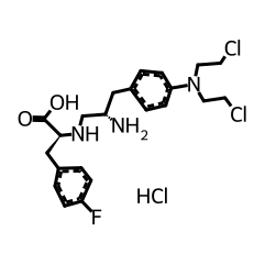 Cl.N[C@H](CN[C@@H](Cc1ccc(F)cc1)C(=O)O)Cc1ccc(N(CCCl)CCCl)cc1